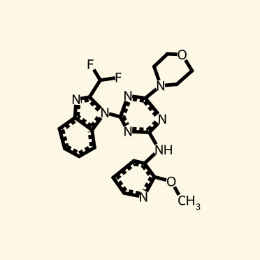 COc1ncccc1Nc1nc(N2CCOCC2)nc(-n2c(C(F)F)nc3ccccc32)n1